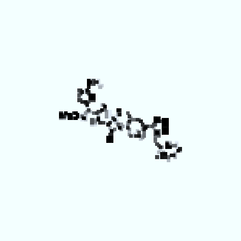 CON=C(C(=O)NC1C(=O)N2C(C(=O)O)=C(CSc3nnnn3CC(N)C(=O)O)CS[C@@H]12)c1csc(N)n1